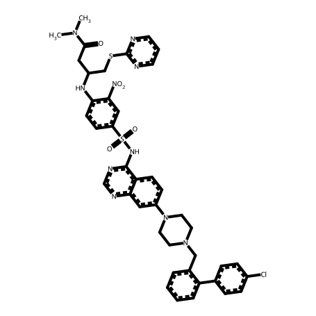 CN(C)C(=O)CC(CSc1ncccn1)Nc1ccc(S(=O)(=O)Nc2ncnc3cc(N4CCN(Cc5ccccc5-c5ccc(Cl)cc5)CC4)ccc23)cc1[N+](=O)[O-]